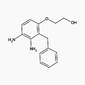 Nc1ccc(OCCO)c(Cc2ccccc2)c1N